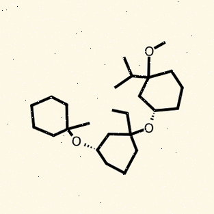 CCC1(O[C@H]2CCCC(OC)(C(C)C)C2)CCC[C@H](OC2(C)CCCCC2)C1